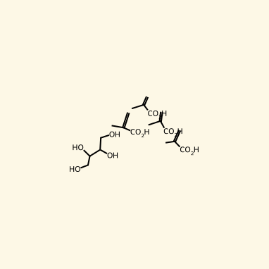 C=C(C)C(=O)O.C=C(C)C(=O)O.C=C(C)C(=O)O.C=C(C)C(=O)O.OCC(O)C(O)CO